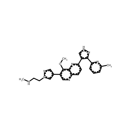 CNCCn1cc(-c2cnc3ccc(-c4c[nH]nc4-c4cccc(C)n4)nc3c2OC)cn1